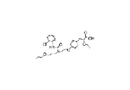 CCCOCCCN(CCOc1ccc(CC(OCC)C(=O)O)cc1)C(=O)Nc1ccccc1Cl